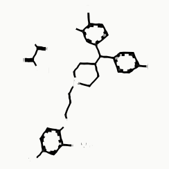 COc1cc(C(C)=O)ccc1OCCCN1CCC(C(c2ccc(F)cc2)c2ccc(F)c(F)c2)CC1.O=C(O)C(=O)O